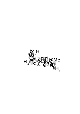 CON=C(C(=O)N[C@@H]1C(=O)N2C(C(=O)O)=C(CSC3=CC(C)=NC4=CN(C(=O)O)NN43)CS[C@H]12)c1csc(N)n1